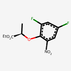 CCOC(=O)[C@@H](C)Oc1c(F)cc(F)cc1[N+](=O)[O-]